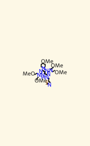 COCCN(CCOC)c1nc(N2CCC(OC)CC2)c2nc(N(CCOC)CCOC)nc(NCc3cncs3)c2n1